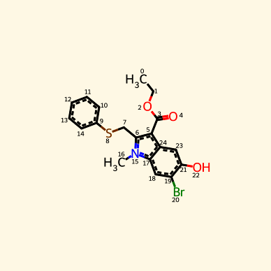 CCOC(=O)c1c(CSc2ccccc2)n(C)c2cc(Br)c(O)cc12